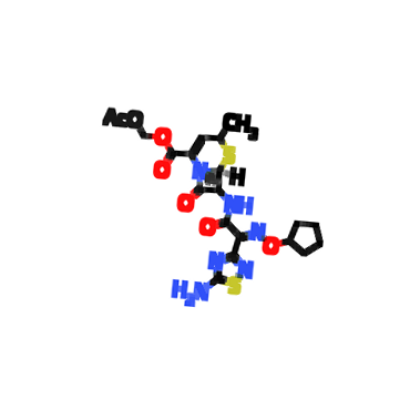 CC(=O)OCOC(=O)C1=CC(C)S[C@H]2C(NC(=O)C(=NOC3CCCC3)c3nsc(N)n3)C(=O)N12